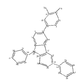 Cc1ccc(-c2ccc3c(c2)c2cc(-c4ccccc4)ccc2n3-c2ccccc2)cc1C